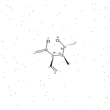 C=C[C@@H](C(=C)CC)[C@H](C)[C@@H](C)Cl